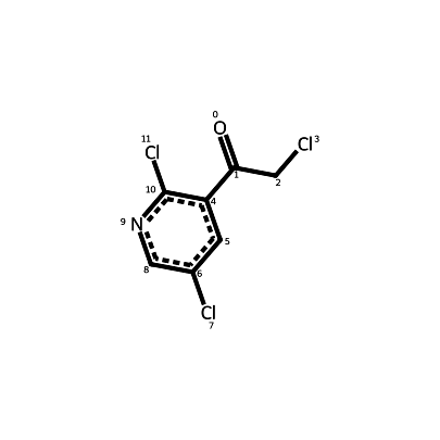 O=C(CCl)c1cc(Cl)cnc1Cl